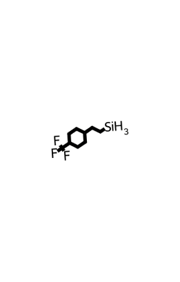 FC(F)(F)C1CCC(CC[SiH3])CC1